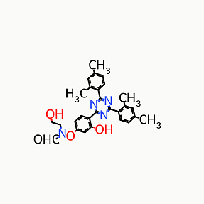 Cc1ccc(-c2nc(-c3ccc(C)cc3C)nc(-c3ccc(ON(C=O)CCO)cc3O)n2)c(C)c1